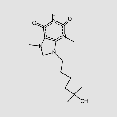 CN1CN(CCCCC(C)(C)O)c2c1c(=O)[nH]c(=O)n2C